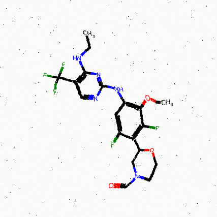 CCNc1nc(Nc2cc(F)c(C3CN(C=O)CCO3)c(F)c2OC)ncc1C(F)(F)F